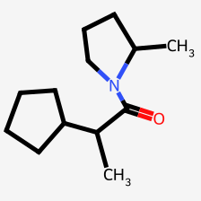 CC(C(=O)N1CCCC1C)C1CCCC1